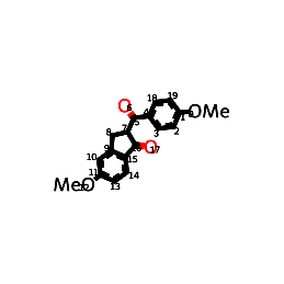 COc1ccc(C(=O)C2Cc3cc(OC)ccc3C2=O)cc1